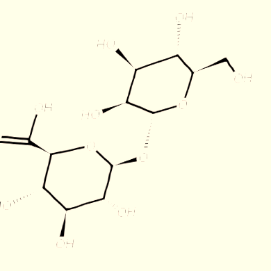 O=C(O)[C@H]1O[C@@H](O[C@H]2O[C@H](CO)[C@@H](O)[C@H](O)[C@@H]2O)[C@H](O)[C@@H](O)[C@@H]1O